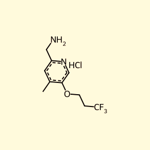 Cc1cc(CN)ncc1OCCC(F)(F)F.Cl